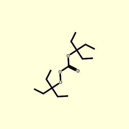 CCC(CC)(CC)OOC(=O)OC(CC)(CC)CC